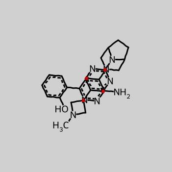 CN1CC(c2cnc(N3C4CCC3CN(c3cc(-c5ccccc5O)nnc3N)C4)nc2)C1